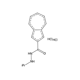 CC(C)NNC(=O)c1cc2cccccc-2c1.Cl.Cl